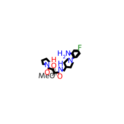 CO[C@@H](C(=O)NCC1CCN(c2ccc(F)cc2N)CC1)[C@@H](O)C(=O)N1CCCC1